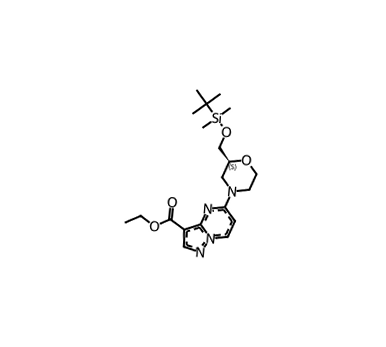 CCOC(=O)c1cnn2ccc(N3CCO[C@H](CO[Si](C)(C)C(C)(C)C)C3)nc12